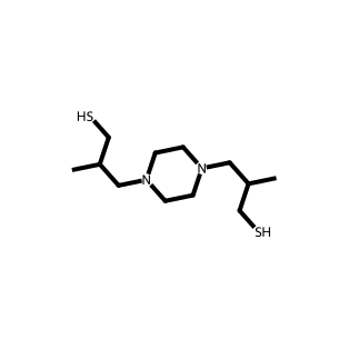 CC(CS)CN1CCN(CC(C)CS)CC1